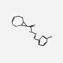 O=C(N/N=C/c1cccc(Br)c1)C1C2CC/C=C\CCC21